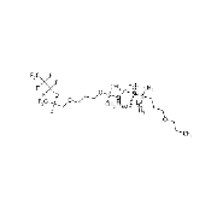 CO[SiH](O[Si](C)(C)[Si](C)(C)CCCOCCC(F)(F)F)[Si](C)(C)OCCCOCC(F)(OC(F)(F)C(F)(F)C(F)(F)F)C(F)(F)F